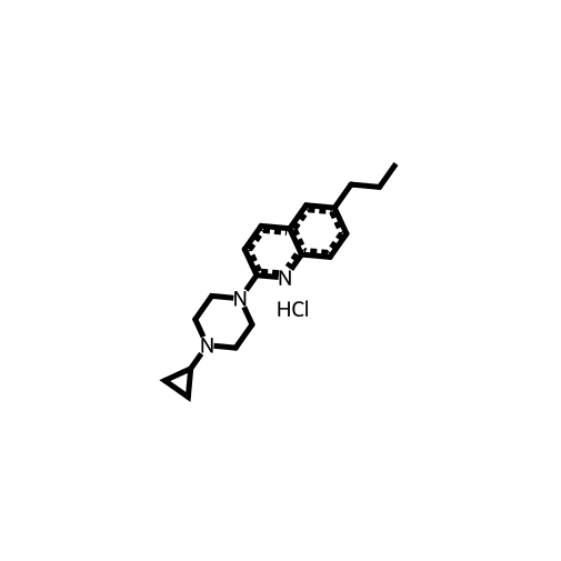 CCCc1ccc2nc(N3CCN(C4CC4)CC3)ccc2c1.Cl